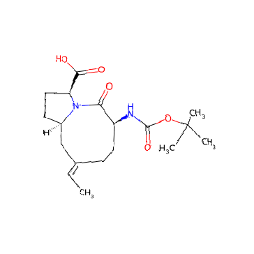 C/C=C1\CC[C@H](NC(=O)OC(C)(C)C)C(=O)N2[C@H](CC[C@H]2C(=O)O)C1